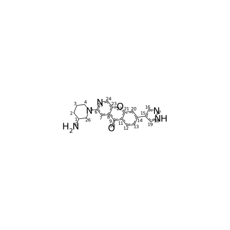 NC1CCCN(c2cc3c(=O)c4ccc(-c5cn[nH]c5)cc4oc3cn2)C1